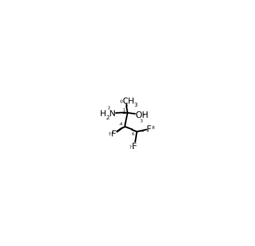 CC(N)(O)C(F)C(F)F